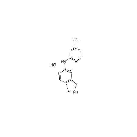 Cc1cccc(Nc2ncc3c(n2)CNC3)c1.Cl